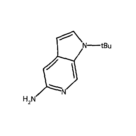 CC(C)(C)n1ccc2cc(N)ncc21